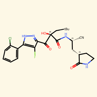 CC(C)(C)C[C@](O)(C(=O)N[C@H](C#N)C[C@@H]1CCNC1=O)C(=O)c1n[nH]c(-c2ccccc2Cl)c1F